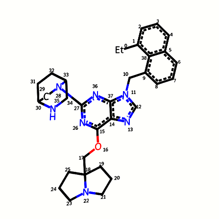 CCc1cccc2cccc(Cn3cnc4c(OCC56CCCN5CCC6)nc(N5CC6CCC5CN6)nc43)c12